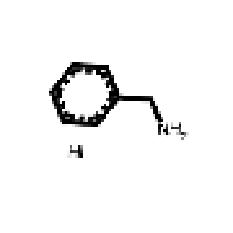 I.NCc1ccccc1